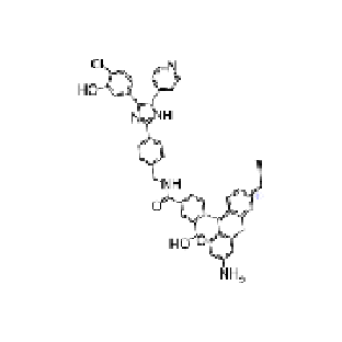 C#C/C=c1\ccc2c(c1)Cc1cc(N)ccc1C=2c1ccc(C(=O)NCc2ccc(-c3nc(-c4ccc(Cl)c(O)c4)c(-c4ccncc4)[nH]3)cc2)cc1C(=O)O